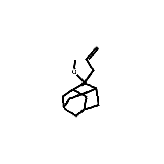 C=CCC1(OC)C2CC3CC(C2)CC1C3